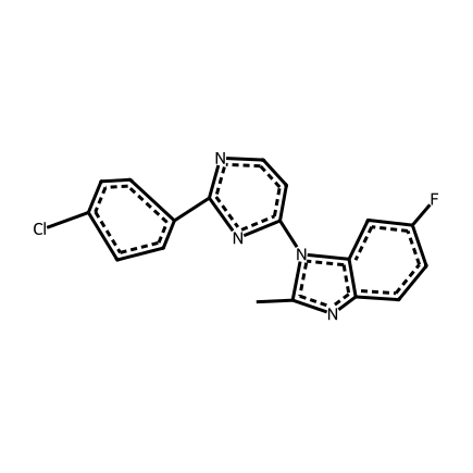 Cc1nc2ccc(F)cc2n1-c1ccnc(-c2ccc(Cl)cc2)n1